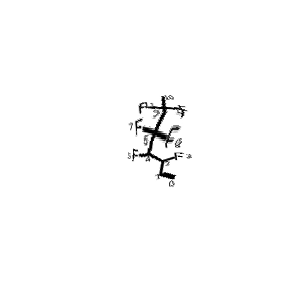 C=CC(F)C(F)C(F)(F)C(C)(F)F